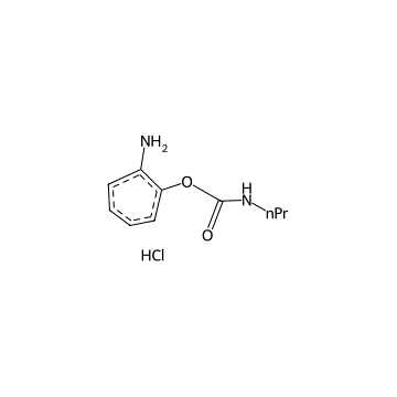 CCCNC(=O)Oc1ccccc1N.Cl